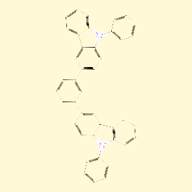 C1=CC2=C(CC1)C1C=C(C3C=C(c4ccc5c(c4)c4ccccc4n5-c4ccccc4)C=CC3)C=CC1N2c1ccccc1